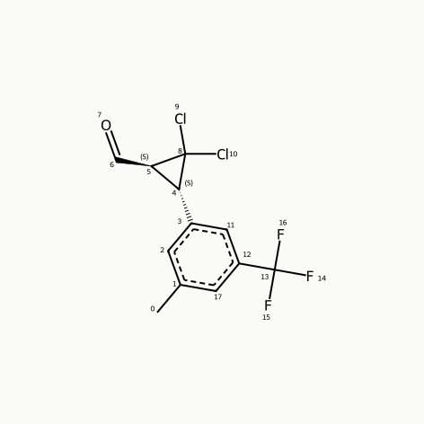 Cc1cc([C@@H]2[C@@H](C=O)C2(Cl)Cl)cc(C(F)(F)F)c1